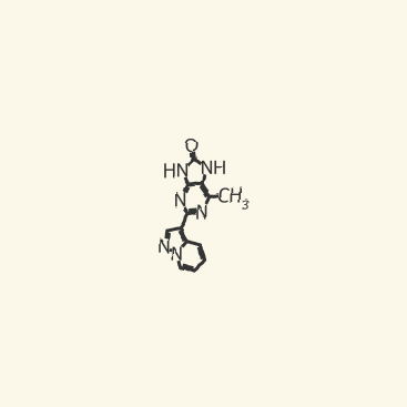 Cc1nc(-c2cnn3ccccc23)nc2[nH]c(=O)[nH]c12